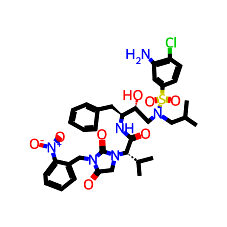 CC(C)CN(C[C@@H](O)[C@H](Cc1ccccc1)NC(=O)[C@H](C(C)C)N1CC(=O)N(Cc2ccccc2[N+](=O)[O-])C1=O)S(=O)(=O)c1ccc(Cl)c(N)c1